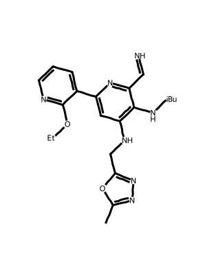 CCOc1ncccc1-c1cc(NCc2nnc(C)o2)c(NC(C)CC)c(C=N)n1